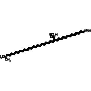 CCCCCC=CCC=CCCCCCCCCC(CCCCCCCCC=CCC=CCCCCCCCCCN(C)C)COC(=O)O